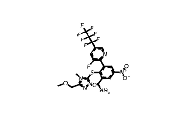 COCc1nnc(Sc2c(C(N)=O)cc([N+](=O)[O-])cc2-c2ncc(C(F)(F)C(F)(F)C(F)(F)F)cc2F)n1C